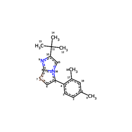 Cc1ccc(-c2csc3nc(C(C)(C)C)cn23)c(C)c1